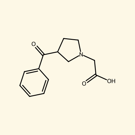 O=C(O)CN1CCC(C(=O)c2ccccc2)C1